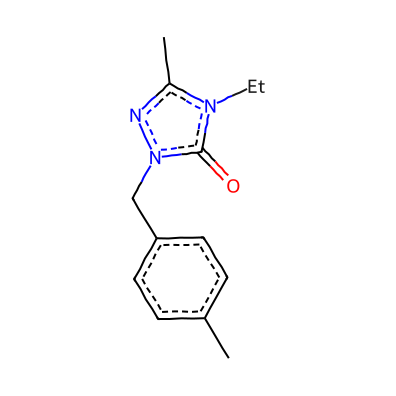 CCn1c(C)nn(Cc2ccc(C)cc2)c1=O